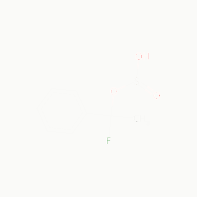 CC(F)(OS(=O)O)c1ccccc1